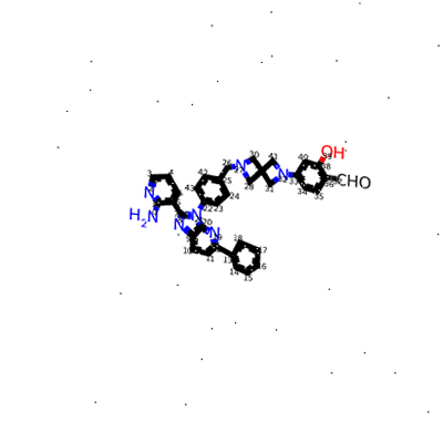 Nc1ncccc1-c1nc2ccc(-c3ccccc3)nc2n1-c1ccc(CN2CC3(C2)CN(c2ccc(C=O)c(O)c2)C3)cc1